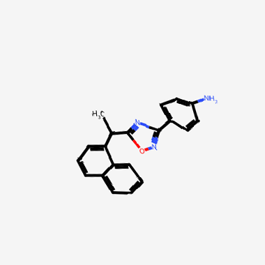 CC(c1nc(-c2ccc(N)cc2)no1)c1cccc2ccccc12